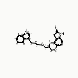 O=C1Cc2c(ccc3c2OC(CNCCCc2c[nH]c4ccccc24)CO3)N1